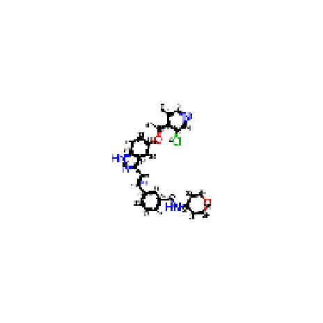 Cc1cncc(Cl)c1[C@@H](C)Oc1ccc2[nH]nc(/C=C/c3cccc(CNC4CCOCC4)c3)c2c1